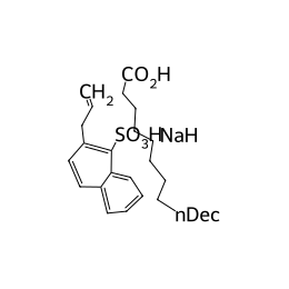 C=CCc1ccc2ccccc2c1S(=O)(=O)O.CCCCCCCCCCCCCCCCCC(=O)O.[NaH]